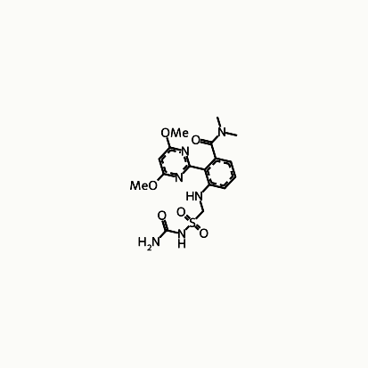 COc1cc(OC)nc(-c2c(NCS(=O)(=O)NC(N)=O)cccc2C(=O)N(C)C)n1